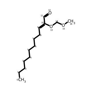 CCCCCCCCCC=C(C=O)OCOC